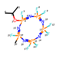 CC(C)OP1(F)=NP(F)(F)=NP(F)(F)=NP(F)(F)=NP(C)(F)=N1